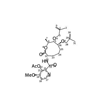 C=C(C)CO[C@H]1[C@H](C)OC(=O)[C@@H](NC(=O)c2nccc(OC)c2OC(C)=O)CCC[C@@H]1OCC(=C)C